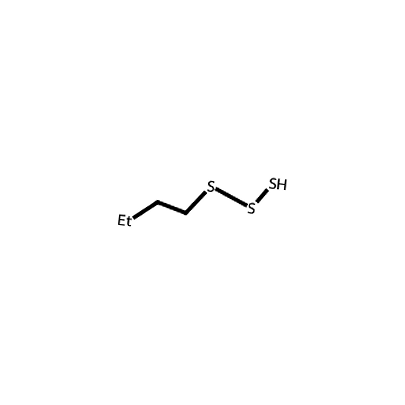 [CH2]CCCSSS